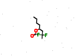 CCCCC(CC(C)(F)F)O[C]=O